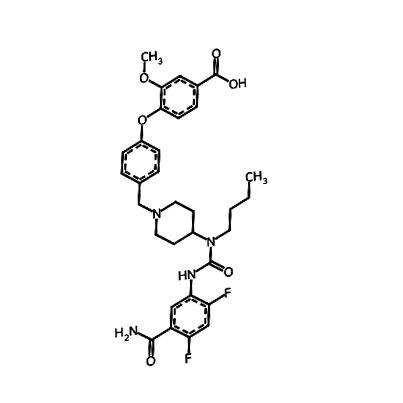 CCCCN(C(=O)Nc1cc(C(N)=O)c(F)cc1F)C1CCN(Cc2ccc(Oc3ccc(C(=O)O)cc3OC)cc2)CC1